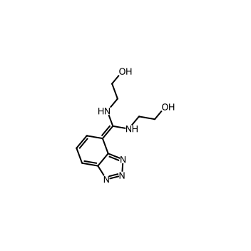 OCCNC(NCCO)=c1cccc2c1=NN=N2